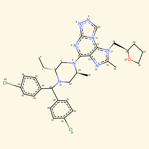 CC[C@@H]1CN(c2nc3nncn3c3c2nc(C)n3C[C@H]2CCCO2)[C@@H](C)CN1C(c1ccc(Cl)cc1)c1ccc(Cl)cc1